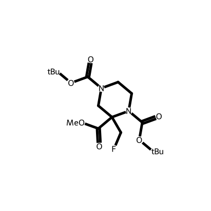 COC(=O)C1(CF)CN(C(=O)OC(C)(C)C)CCN1C(=O)OC(C)(C)C